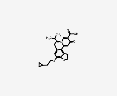 CC(C)[C@@H]1Cc2cc(OCCC3CC3)c3c(c2-c2cc(=O)c(C(=O)O)cn21)CCO3